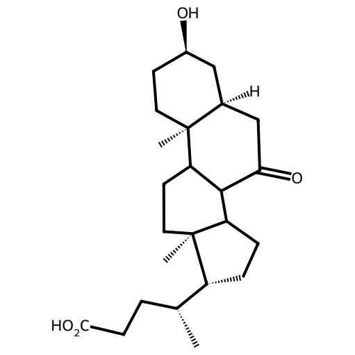 C[C@H](CCC(=O)O)[C@H]1CCC2C3C(=O)C[C@@H]4C[C@H](O)CC[C@]4(C)C3CC[C@@]21C